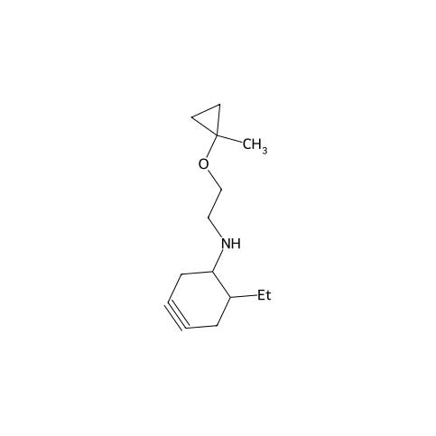 CCC1CC#CCC1NCCOC1(C)CC1